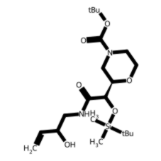 C=CC(O)CNC(=O)C(O[Si](C)(C)C(C)(C)C)[C@H]1CN(C(=O)OC(C)(C)C)CCO1